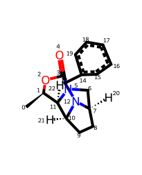 C[C@H]1OC(=O)N2C[C@H]3CC[C@@H]([C@@H]12)N3Cc1ccccc1